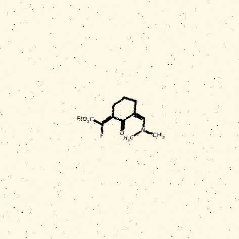 CCOC(=O)C(F)=C1CCCC(=CN(C)C)C1=O